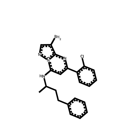 Bc1cnn2c(NC(C)CCc3ccccc3)cc(-c3ccccc3Cl)nc12